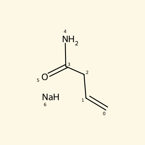 C=CCC(N)=O.[NaH]